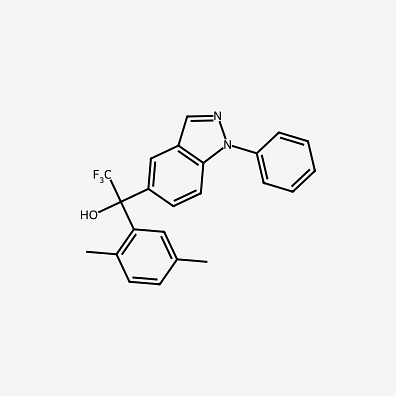 Cc1ccc(C)c(C(O)(c2ccc3c(cnn3-c3ccccc3)c2)C(F)(F)F)c1